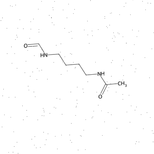 CC(=O)NCCCCNC=O